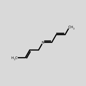 C/C=C/C=N/C/C=C/C